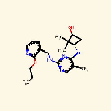 CC1(C)[C@@H](Nc2nc(NCc3cccnc3OCCC(F)(F)F)ncc2C(F)(F)F)C[C@@H]1O